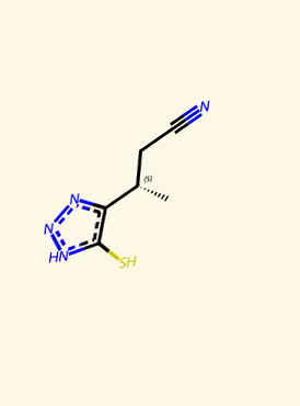 C[C@@H](CC#N)c1nn[nH]c1S